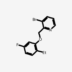 CCc1ccc(F)cc1OCc1ncccc1Br